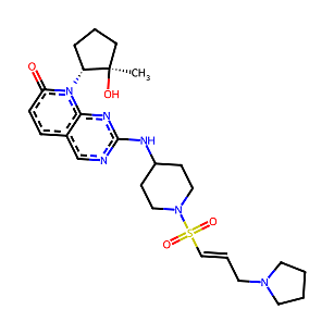 C[C@@]1(O)CCC[C@H]1n1c(=O)ccc2cnc(NC3CCN(S(=O)(=O)/C=C/CN4CCCC4)CC3)nc21